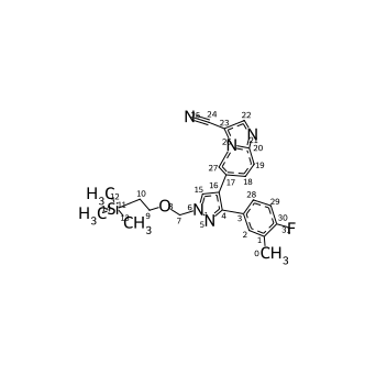 Cc1cc(-c2nn(COCC[Si](C)(C)C)cc2-c2ccc3ncc(C#N)n3c2)ccc1F